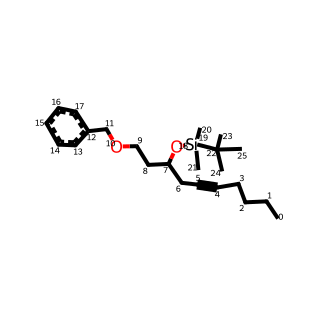 CCCCC#CCC(CCOCc1ccccc1)O[Si](C)(C)C(C)(C)C